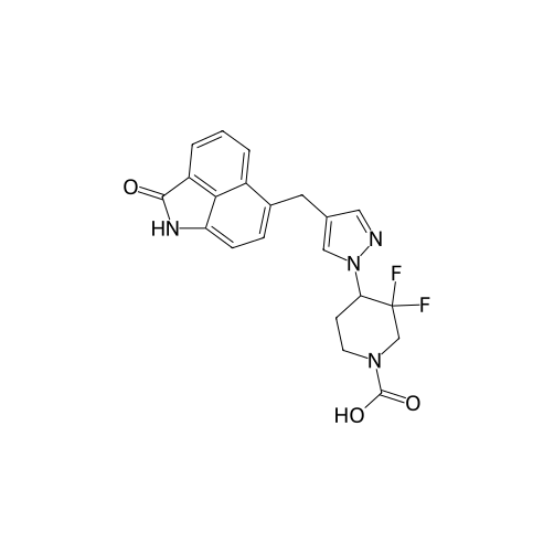 O=C1Nc2ccc(Cc3cnn(C4CCN(C(=O)O)CC4(F)F)c3)c3cccc1c23